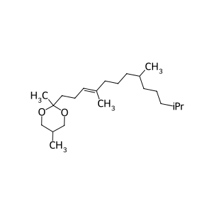 C/C(=C\CCC1(C)OCC(C)CO1)CCCC(C)CCCC(C)C